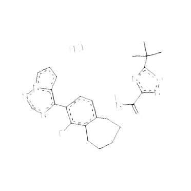 CC(C)(C)c1nc(C(=O)N[C@@H]2CCCCc3c2ccc(-c2ncnn4cccc24)c3F)no1.Cl